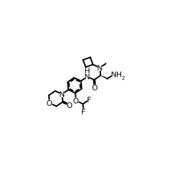 CN(C1CCC1)[C@@H](CN)C(=O)Nc1ccc(N2CCOCC2=O)c(OC(F)F)c1